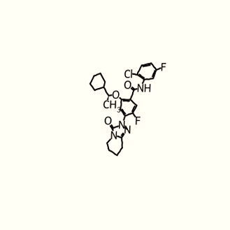 C[C@H](Oc1cc(-n2nc3n(c2=O)CCCC3)c(F)cc1C(=O)Nc1cc(F)ccc1Cl)C1CCCCC1